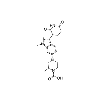 CC1CN(c2ccc3c(C4CCC(=O)NC4=O)nn(C)c3c2)CCN1C(=O)O